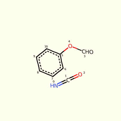 N=C=O.O=COc1ccccc1